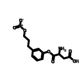 NC(CC(=O)O)C(=O)Oc1cccc(CCCO[N+](=O)[O-])c1